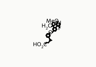 C=CC1(c2cc(COc3cccc(C4CC4CCC(=O)O)c3)ccc2-c2cc(OC)ncc2F)CCCC1